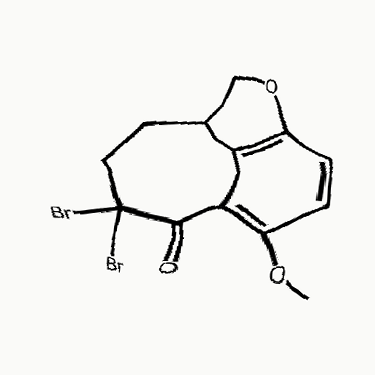 COc1ccc2c3c1C(=O)C(Br)(Br)CCC3CO2